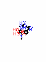 CCNC(=O)[C@@H]1OC(n2cnc3c(NC)nc(-c4cn(C)nc4-c4ccccc4)nc32)C(O)C1O